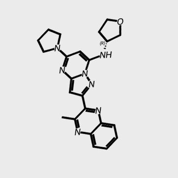 Cc1nc2ccccc2nc1-c1cc2nc(N3CCCC3)cc(N[C@@H]3CCOC3)n2n1